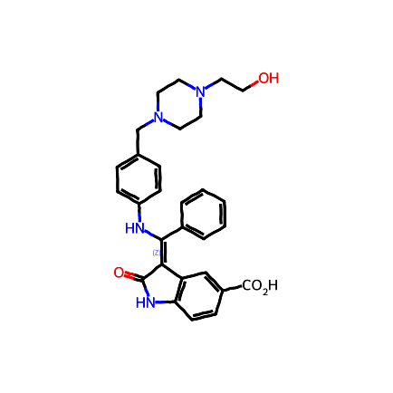 O=C1Nc2ccc(C(=O)O)cc2/C1=C(/Nc1ccc(CN2CCN(CCO)CC2)cc1)c1ccccc1